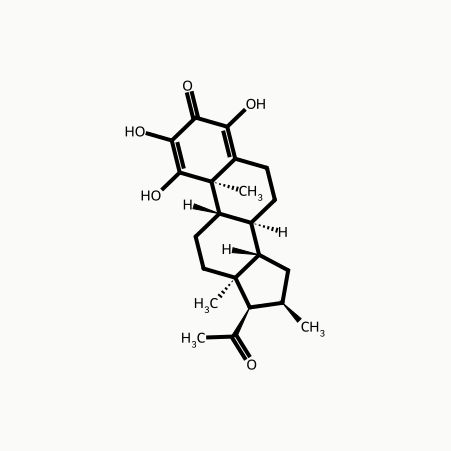 CC(=O)[C@@H]1[C@H](C)C[C@H]2[C@@H]3CCC4=C(O)C(=O)C(O)=C(O)[C@]4(C)[C@H]3CC[C@]12C